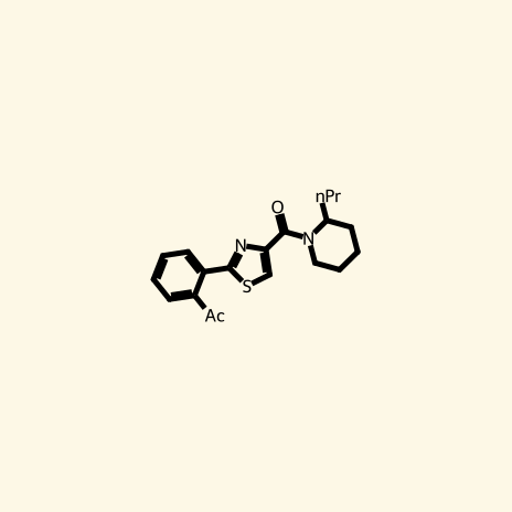 CCCC1CCCCN1C(=O)c1csc(-c2ccccc2C(C)=O)n1